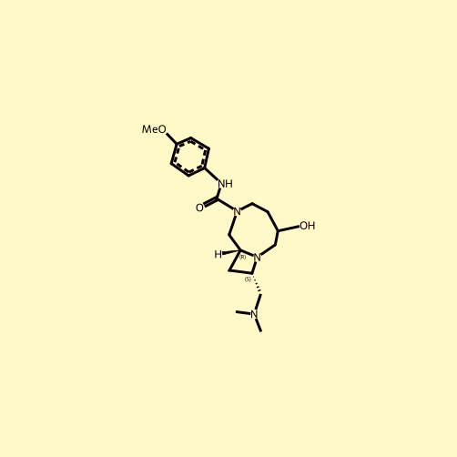 COc1ccc(NC(=O)N2CCC(O)CN3[C@H](C[C@H]3CN(C)C)C2)cc1